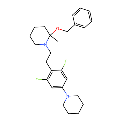 CC1(OCc2ccccc2)CCCCN1CCc1c(F)cc(N2CCCCC2)cc1F